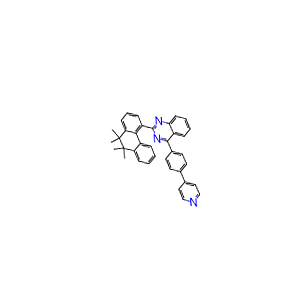 CC1(C)c2ccccc2-c2c(-c3nc(-c4ccc(-c5ccncc5)cc4)c4ccccc4n3)cccc2C1(C)C